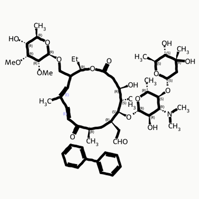 CC[C@H]1OC(=O)C[C@@H](O)[C@H](C)[C@@H](O[C@@H]2O[C@H](C)[C@@H](O[C@H]3C[C@@](C)(O)[C@@H](O)[C@H](C)O3)[C@H](N(C)C)[C@H]2O)[C@@H](CC=O)C[C@@H](C)C(=O)/C=C/C(C)=C/C1CO[C@@H]1O[C@H](C)[C@@H](O)[C@@H](OC)[C@H]1OC.c1ccc(-c2ccccc2)cc1